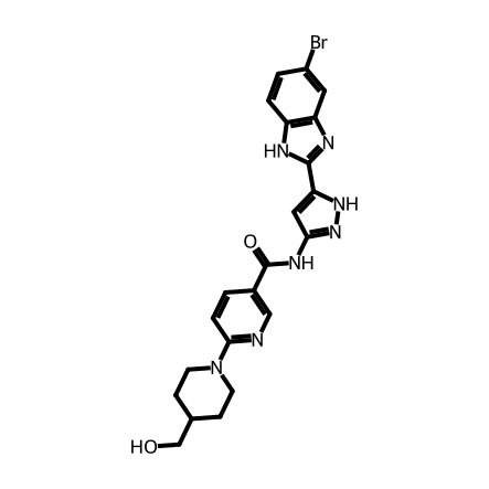 O=C(Nc1cc(-c2nc3cc(Br)ccc3[nH]2)[nH]n1)c1ccc(N2CCC(CO)CC2)nc1